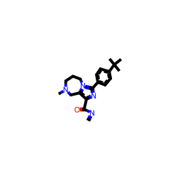 C=NC(=O)c1nc(-c2ccc(C(C)(C)C)cc2)n2c1CN(C)CCC2